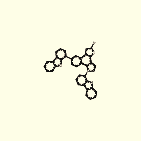 Brc1cc2c3cc(-c4cccc5c4oc4ccccc45)ccc3c3c(ccn3-c3cccc4c3sc3ccccc34)c2s1